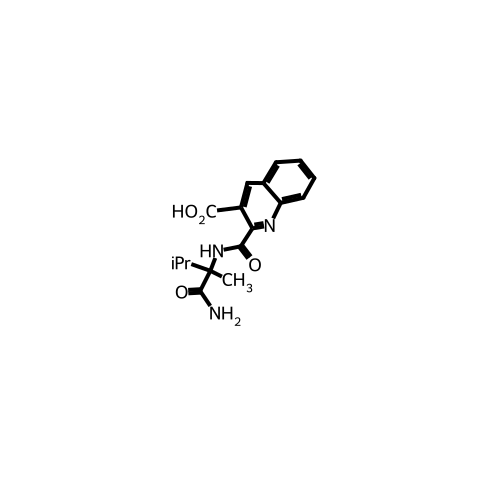 CC(C)C(C)(NC(=O)c1nc2ccccc2cc1C(=O)O)C(N)=O